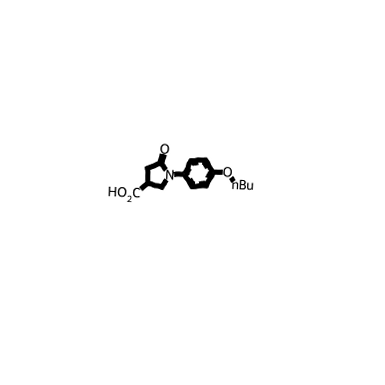 CCCCOc1ccc(N2CC(C(=O)O)CC2=O)cc1